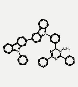 CN1C(c2ccccc2)=NC(c2ccccc2)=NC1c1cccc(-n2c3ccccc3c3cc(-c4ccc5c6ccccc6n(-c6ccccc6)c5c4)ccc32)c1